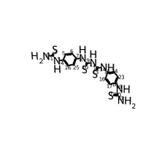 NC(=S)Nc1ccc(NC(=S)NC(=S)Nc2ccc(NC(N)=S)cc2)cc1